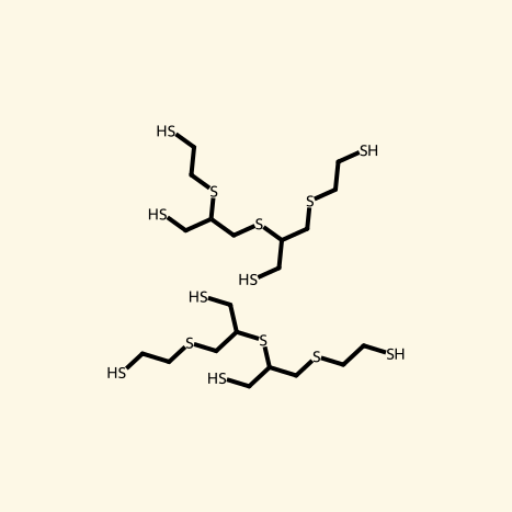 SCCSCC(CS)SC(CS)CSCCS.SCCSCC(CS)SCC(CS)SCCS